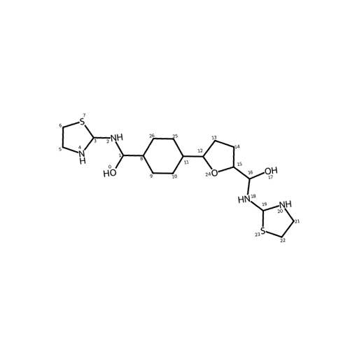 OC(NC1NCCS1)C1CCC(C2CCC(C(O)NC3NCCS3)O2)CC1